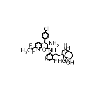 CC(F)(F)c1ccc([C@H](c2ccc(Cl)cc2)[C@H](N)C(=O)Nc2cncc(F)c2CC[C@H]2CN[C@@H]3CCCS(O)(O)N2C3)cn1